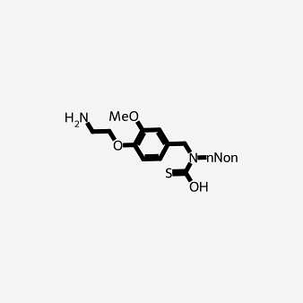 CCCCCCCCCN(Cc1ccc(OCCN)c(OC)c1)C(O)=S